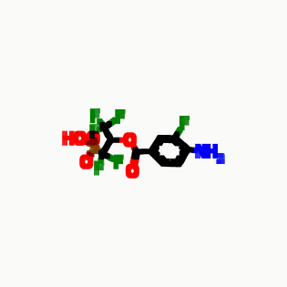 Nc1ccc(C(=O)OC(C(F)(F)F)C(F)(F)S(=O)(=O)O)cc1F